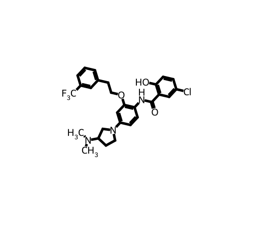 CN(C)C1CCN(c2ccc(NC(=O)c3cc(Cl)ccc3O)c(OCCc3cccc(C(F)(F)F)c3)c2)C1